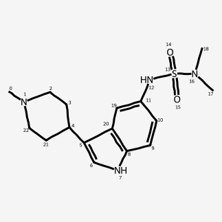 CN1CCC(c2c[nH]c3ccc(NS(=O)(=O)N(C)C)cc23)CC1